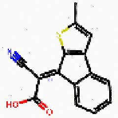 Cc1cc2c(s1)/C(=C(\C#N)C(=O)O)c1ccccc1-2